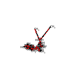 CCCCCCCCCCCCC/C=C/[C@@H](O)[C@H](CO[C@@H]1OC(CO)[C@@H](O[C@@H]2OC(CO)[C@H](O)[C@H](O[C@@H]3OC(CO)[C@@H](O[C@@H]4OC(CO)[C@H](O)[C@H](O[C@@H]5OC(CO)[C@@H](O)[C@H](O[C@@H]6OC(CO)[C@H](O)[C@H](O[C@]7(C(=O)O)CC(O)[C@@H](NC(C)=O)C([C@H](O)[C@H](O)CO)O7)C6O)C5NC(C)=O)C4O)[C@H](O)C3NC(C)=O)C2O)[C@H](O)C1O)NC(=O)CCCCCCCCCCCCCCCCCCCCC